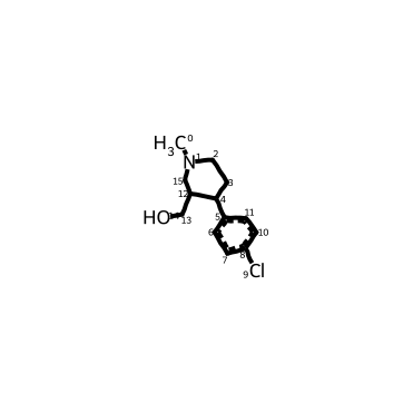 CN1CCC(c2ccc(Cl)cc2)C(CO)C1